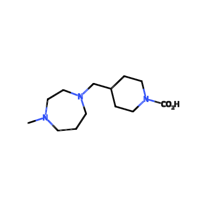 CN1CCCN(CC2CCN(C(=O)O)CC2)CC1